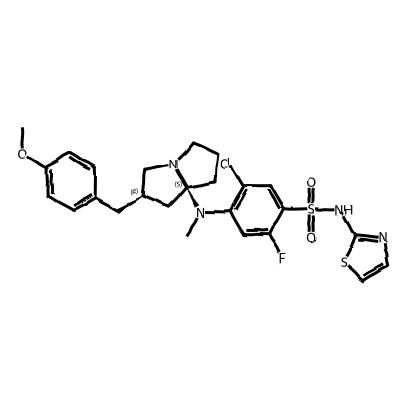 COc1ccc(C[C@H]2CN3CCC[C@]3(N(C)c3cc(F)c(S(=O)(=O)Nc4nccs4)cc3Cl)C2)cc1